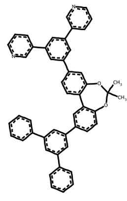 CC1(C)Oc2cc(-c3cc(-c4cccnc4)cc(-c4cccnc4)c3)ccc2-c2cc(-c3cc(-c4ccccc4)cc(-c4ccccc4)c3)ccc2O1